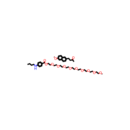 CCCCNc1ccc(C(=O)OCCOCCOCCOCCOCCOCCOCCOCCOCCOC)cc1.COc1ccc2cc(CCC(C)=O)ccc2c1